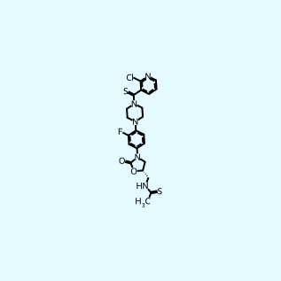 CC(=S)NC[C@H]1CN(c2ccc(N3CCN(C(=S)c4cccnc4Cl)CC3)c(F)c2)C(=O)O1